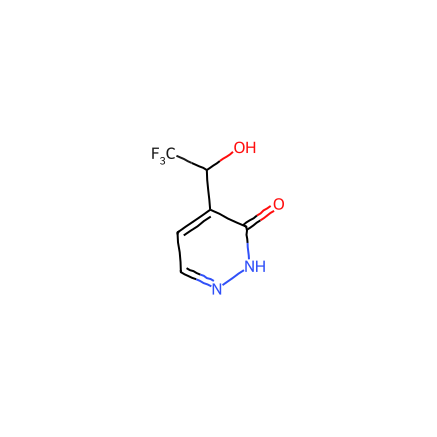 O=c1[nH]nccc1C(O)C(F)(F)F